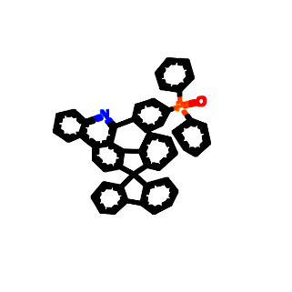 O=P(c1ccccc1)(c1ccccc1)c1ccc(-c2nc3ccccc3c3ccc4c(c23)-c2ccccc2C42c3ccccc3-c3ccccc32)cc1